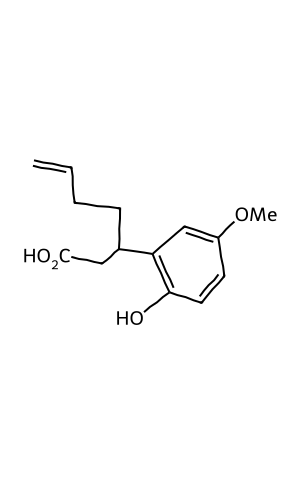 C=CCCC(CC(=O)O)c1cc(OC)ccc1O